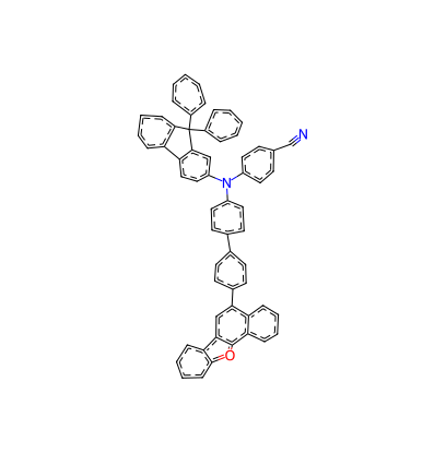 N#Cc1ccc(N(c2ccc(-c3ccc(-c4cc5c6ccccc6oc5c5ccccc45)cc3)cc2)c2ccc3c(c2)C(c2ccccc2)(c2ccccc2)c2ccccc2-3)cc1